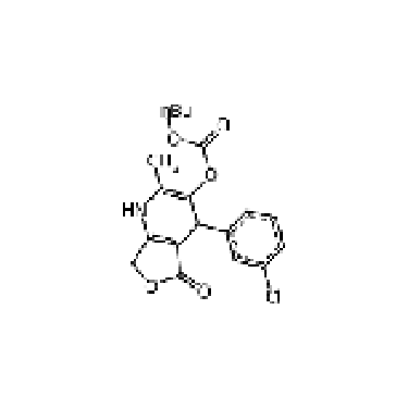 CCCCOC(=O)OC1=C(C)NC2=C(C(=O)OC2)C1c1cccc(Cl)c1